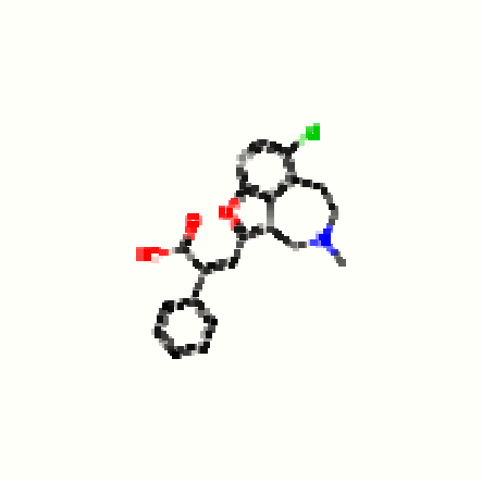 CN1CCc2c(Cl)ccc3oc(C=C(C(=O)O)c4ccccc4)c(c23)C1